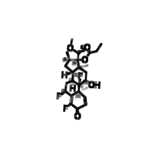 CCC(=O)O[C@]1(C(=S)OC)[C@H](C)C[C@H]2[C@@H]3C[C@H](F)C4=C(F)C(=O)C=C[C@]4(C)[C@@]3(F)[C@@H](O)C[C@@]21C